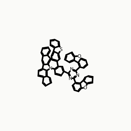 c1ccc2cc3c(cc2c1)c1ccc2ccccc2c1n3-c1ccc(-c2nc(-c3cccc4oc5ccccc5c34)nc(-c3cccc4oc5ccccc5c34)n2)cc1-c1ccc2c(c1)sc1ccccc12